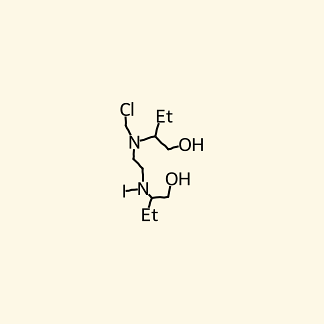 CCC(CO)N(I)CCN(CCl)C(CC)CO